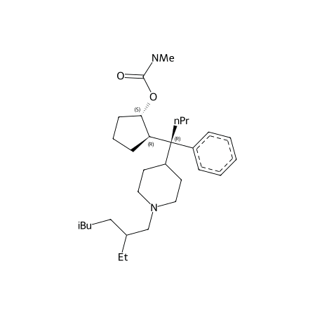 CCC[C@@](c1ccccc1)(C1CCN(CC(CC)CC(C)CC)CC1)[C@H]1CCC[C@@H]1OC(=O)NC